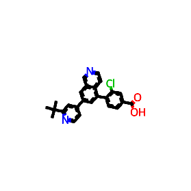 CC(C)(C)c1cc(-c2cc(-c3ccc(C(=O)O)cc3Cl)c3ccncc3c2)ccn1